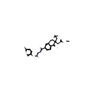 CCOC(=O)CC1(CC(F)(F)F)CCc2cc(/C(N)=C/C=C(\N)Nc3ccc(C)nc3)ccc2C1=O